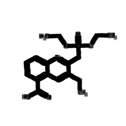 CCOP(=O)(Cc1nc2cccc(C(=O)O)c2cc1CC)OCC